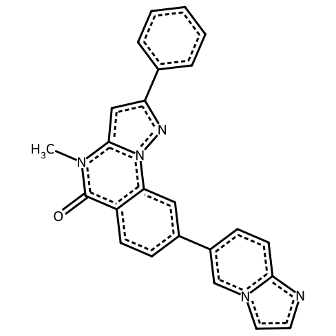 Cn1c(=O)c2ccc(-c3ccc4nccn4c3)cc2n2nc(-c3ccccc3)cc12